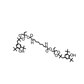 CCC1(COC(=O)NCCCCCCNC(=O)OCC2(CC)COC(C(C)(C)Cc3cc(C(C)(C)C)c(O)c(C(C)(C)C)c3)OC2)COC(C(C)(C)Cc2cc(C(C)(C)C)c(O)c(C(C)(C)C)c2)OC1